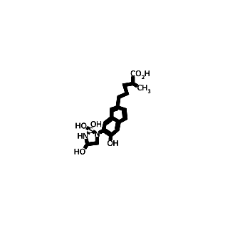 CC(CCCc1ccc2cc(O)c(N3CC(O)NS3(O)O)cc2c1)C(=O)O